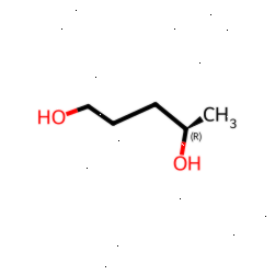 C[C@@H](O)CCCO